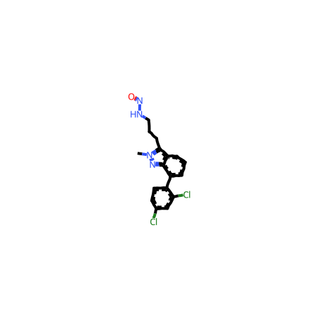 Cn1nc2c(-c3ccc(Cl)cc3Cl)cccc2c1CCCNN=O